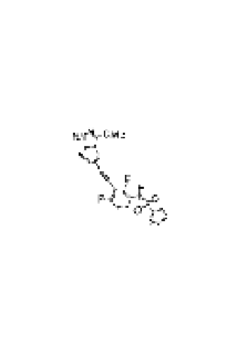 COc1n[nH]c2ncc(C#Cc3c(F)ccc(NS(=O)(=O)c4cccs4)c3F)cc12